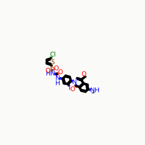 CNc1ccc2c(=O)n(-c3ccc(NC(=O)NS(=O)(=O)c4ccc(Cl)s4)cc3I)cc(C=O)c2c1